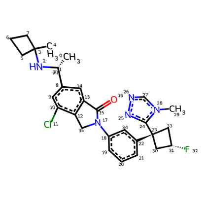 C[C@@H](NC1(C)CCC1)c1cc(Cl)c2c(c1)C(=O)N(c1cccc([C@]3(c4nncn4C)C[C@@H](F)C3)c1)C2